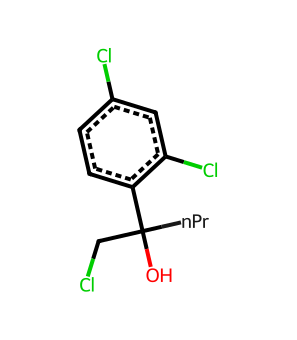 CCCC(O)(CCl)c1ccc(Cl)cc1Cl